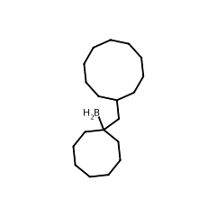 BC1(CC2CCCCCCCCC2)CCCCCCC1